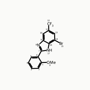 COc1ccccc1-c1nc2cc(C(F)(F)F)cc(Br)c2[nH]1